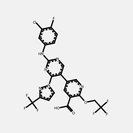 O=C(O)c1cc(-c2cnc(Nc3ccc(F)c(Cl)c3)nc2-n2ccc(C(F)(F)F)n2)cnc1OCC(F)(F)F